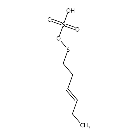 CCC=CCCSOS(=O)(=O)O